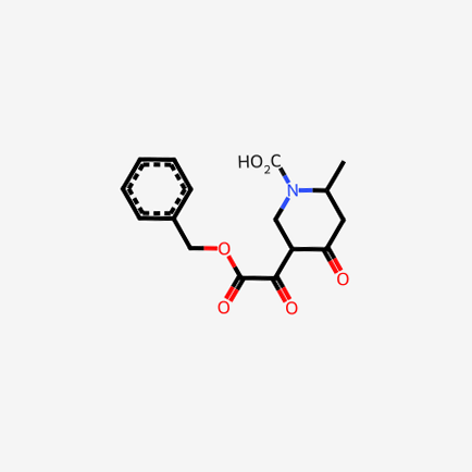 CC1CC(=O)C(C(=O)C(=O)OCc2ccccc2)CN1C(=O)O